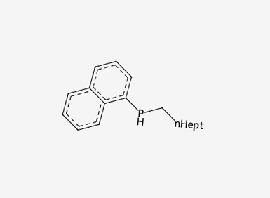 CCCCCCCCPc1cccc2ccccc12